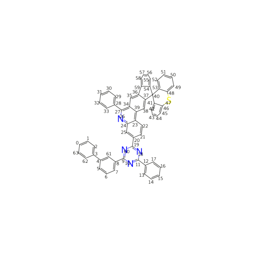 c1ccc(-c2cccc(-c3nc(-c4ccccc4)nc(-c4ccc5c(c4)nc(-c4ccccc4)c4cc6c(cc45)C4(c5ccccc5Sc5ccccc54)c4ccccc4-6)n3)c2)cc1